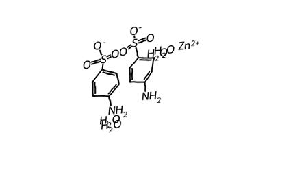 Nc1ccc(S(=O)(=O)[O-])cc1.Nc1ccc(S(=O)(=O)[O-])cc1.O.O.O.O.[Zn+2]